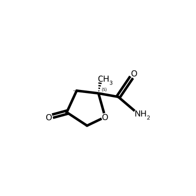 C[C@@]1(C(N)=O)[CH]C(=O)CO1